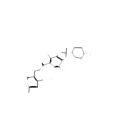 COc1cc(C)[nH]c(=O)c1CNC(=O)c1cc(Cl)c2c(c1C)OC(C)([C@H]1CC[C@H](NC(=O)O)CC1)O2